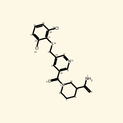 C=C(N)C1CCCN(C(=O)c2cncc(CSc3c(Cl)cccc3Cl)c2)C1